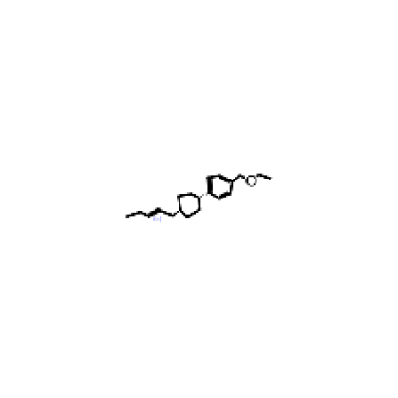 CC/C=C/C[C@H]1CC[C@H](c2ccc(COCC)cc2)CC1